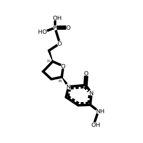 O=c1nc(NO)ccn1[C@H]1CC[C@@H](COP(=O)(O)O)O1